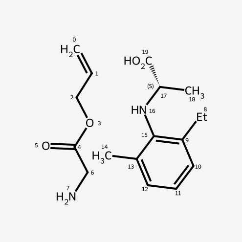 C=CCOC(=O)CN.CCc1cccc(C)c1N[C@@H](C)C(=O)O